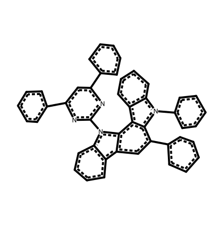 c1ccc(-c2cc(-c3ccccc3)nc(-n3c4ccccc4c4cc(-c5ccccc5)c5c(c6ccccc6n5-c5ccccc5)c43)n2)cc1